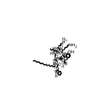 CCCCCCCCCCCCCC(=O)N[C@@H](Cc1c[nH]c2ccccc12)C(=O)NCC(=O)NCC(=O)N[C@H](C(=O)N[C@@H](CCCCN)C(=O)N[C@@H](CCCCN)C(=O)N[C@@H](CC(N)=O)C(=O)N[C@@H](Cc1ccc(O)cc1)C(=O)O)[C@@H](C)CC